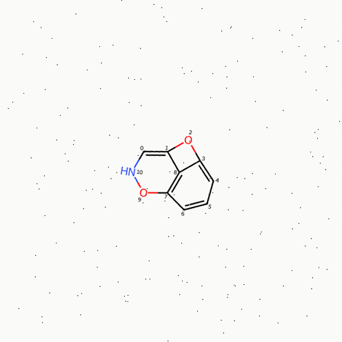 C1=C2Oc3cccc(c32)ON1